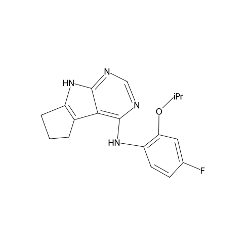 CC(C)Oc1cc(F)ccc1Nc1ncnc2[nH]c3c(c12)CCC3